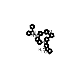 CC1(C)c2ccccc2-c2cc3c4cc(-c5cccc6oc7ccc(-c8ccc9c(c8)c8ccccc8n9-c8nc(-c9ccccc9)c9ccccc9n8)cc7c56)ccc4n(-c4ccccc4)c3cc21